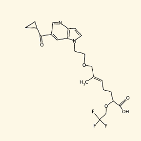 C/C(=C\CCC(OCC(F)(F)F)C(=O)O)COCCn1ccc2ncc(C(=O)C3CC3)cc21